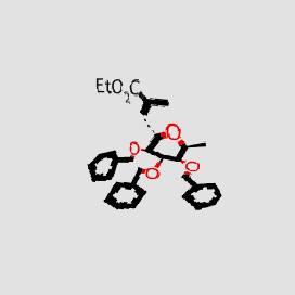 CCOC(=O)C(C)=C[C@@H]1O[C@@H](C)[C@@H](OCc2ccccc2)[C@@H](OCc2ccccc2)[C@@H]1OCc1ccccc1